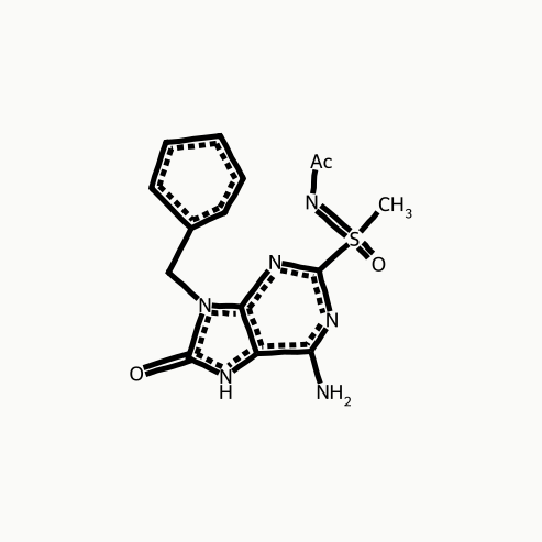 CC(=O)N=S(C)(=O)c1nc(N)c2[nH]c(=O)n(Cc3ccccc3)c2n1